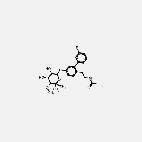 CO[C@@H]1[C@@H](O)[C@H](O)C(Oc2ccc(CCNC(C)=O)c(-c3cccc(F)c3)c2)OC1(C)C